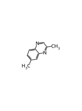 Cc1ccc2n[c]c(C)nc2c1